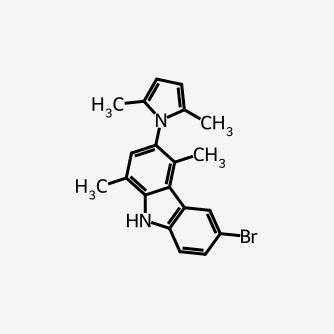 Cc1cc(-n2c(C)ccc2C)c(C)c2c1[nH]c1ccc(Br)cc12